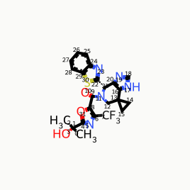 CC(C)(O)c1nc(C(F)(F)F)c(C(=O)N2CC3(CC3)c3[nH]cnc3[C@H]2c2nc3ccccc3s2)o1